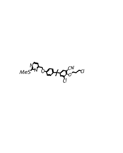 CSc1nccc(COc2ccc(C(C)(C)c3cc(Cl)c(OCCCCl)c(C#N)c3)cc2)n1